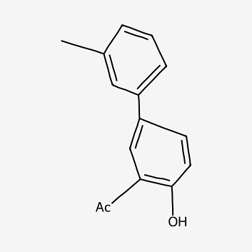 CC(=O)c1cc(-c2cccc(C)c2)ccc1O